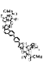 COC(=O)N[C@H](C(=O)N1C[Si](C)(C)C[C@H]1c1ncc(-c2ccc(-c3ccc4c(ccc5nc([C@@H]6CC(F)CN6C(=O)[C@@H](NC(=O)OC)C(C)C)[nH]c54)c3)cc2)[nH]1)C(C)C